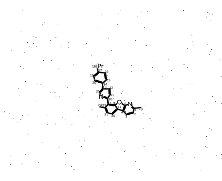 Cc1ccc2c(n1)oc1c(-c3ccc(-c4ccc(C(C)C)cc4)cn3)c(C)ccc12